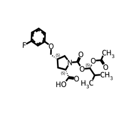 CC(=O)O[C@@H](OC(=O)N1C[C@@H](COc2cccc(F)c2)C[C@H]1C(=O)O)C(C)C